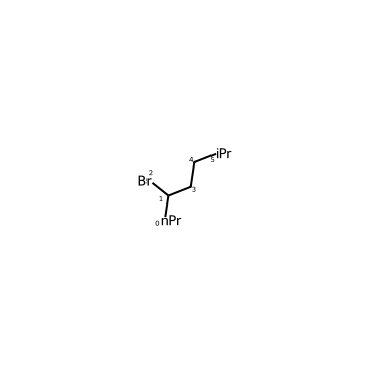 CCCC(Br)CCC(C)C